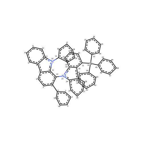 c1ccc(-c2ccc3c4ccccc4n(-c4ccccc4)c3c2-n2c3ccccc3c3c([Si](c4ccccc4)(c4ccccc4)c4ccccc4)cccc32)cc1